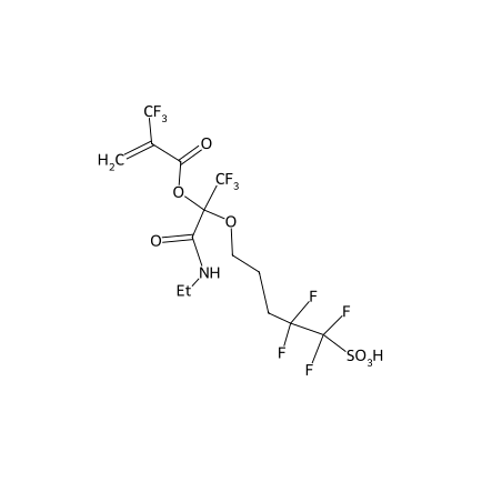 C=C(C(=O)OC(OCCCC(F)(F)C(F)(F)S(=O)(=O)O)(C(=O)NCC)C(F)(F)F)C(F)(F)F